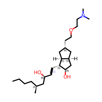 CCCC[C@H](C)C[C@@H](O)/C=C/[C@@H]1[C@H]2C[C@H](CCOCCN(C)C)C[C@H]2C[C@H]1O